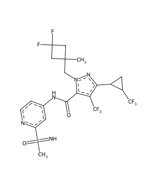 CC1(Cn2nc(C3CC3C(F)(F)F)c(C(F)(F)F)c2C(=O)Nc2ccnc(S(C)(=N)=O)c2)CC(F)(F)C1